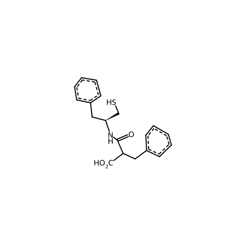 O=C(O)C(Cc1ccccc1)C(=O)N[C@H](CS)Cc1ccccc1